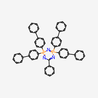 c1ccc(C2=NP(c3ccc(-c4ccccc4)cc3)(c3ccc(-c4ccccc4)cc3)=NP(c3ccc(-c4ccccc4)cc3)(c3ccc(-c4ccccc4)cc3)=N2)cc1